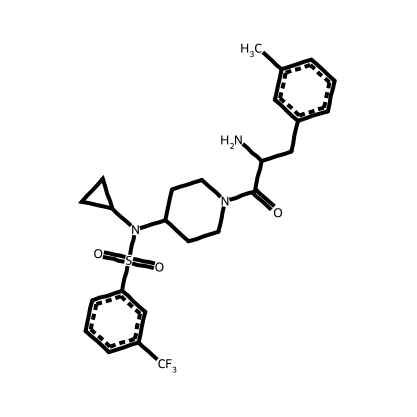 Cc1cccc(CC(N)C(=O)N2CCC(N(C3CC3)S(=O)(=O)c3cccc(C(F)(F)F)c3)CC2)c1